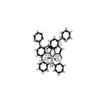 CC1=Cc2c(-c3ccccn3)ccc(C)c2[CH]1[Zr]([Cl])([Cl])([CH]1C(C)=Cc2c(-c3ccccn3)ccc(C)c21)[SiH](c1ccccc1)c1ccccc1